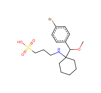 COC(c1ccc(Br)cc1)C1(NCCCS(=O)(=O)O)CCCCC1